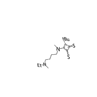 CCN(C)CCCCN(C)c1c(C(C)(C)C)c(=S)c1=S